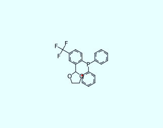 FC(F)(F)c1ccc(P(c2ccccc2)c2ccccc2)c(C2OCCO2)c1